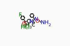 CCC(C(=NOCCN)c1ccccc1)N1CCC(C(=O)c2ccc(F)cc2)CC1.Cl.Cl